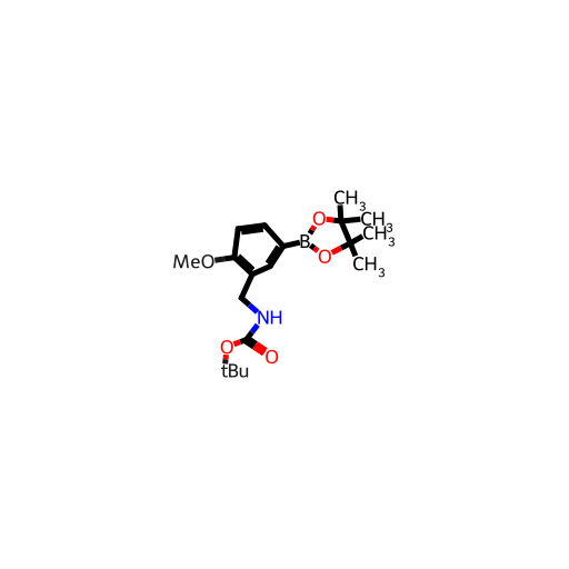 COc1ccc(B2OC(C)(C)C(C)(C)O2)cc1CNC(=O)OC(C)(C)C